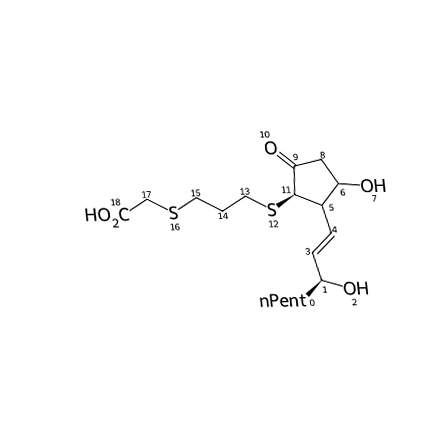 CCCCC[C@H](O)/C=C/C1C(O)CC(=O)[C@@H]1SCCCSCC(=O)O